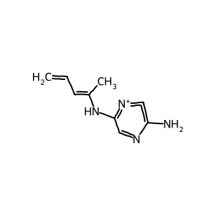 C=C/C=C(\C)NC1=[N+]=C=C(N)N=C1